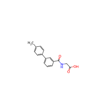 Cc1ccc(-c2cccc(C(=O)NCC(=O)O)c2)cc1